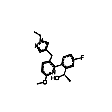 CCn1cc(Cc2ccc(OC)nc2-c2ccc(F)cc2[C@@H](C)O)cn1